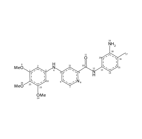 COc1cc(Nc2ccnc(C(=O)Nc3ccc(C)c(N)c3)c2)cc(OC)c1OC